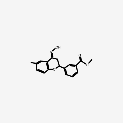 COC(=O)c1cccc(C2CC(=NO)c3cc(C)ccc3O2)c1